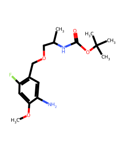 COc1cc(F)c(COCC(C)NC(=O)OC(C)(C)C)cc1N